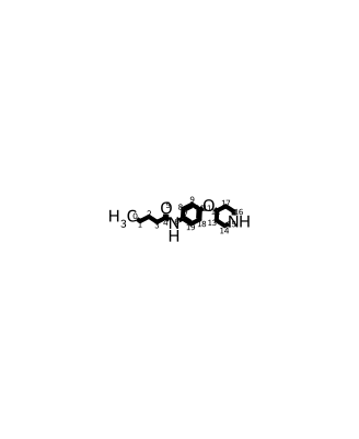 CCCCC(=O)Nc1ccc(OC2CCNCC2)cc1